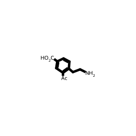 CC(=O)c1cc(C(=O)O)ccc1CCN